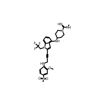 CNC(=N)N1CCC(Nc2cccc3c2cc(C#CCNc2ccc(S(C)(=O)=O)cc2OC)n3CC(F)(F)F)CC1